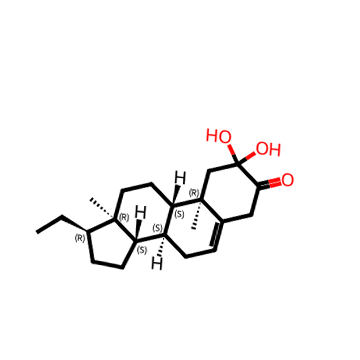 CC[C@@H]1CC[C@H]2[C@@H]3CC=C4CC(=O)C(O)(O)C[C@]4(C)[C@H]3CC[C@]12C